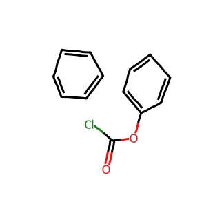 O=C(Cl)Oc1ccccc1.c1ccccc1